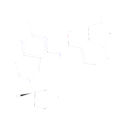 Cc1nc(NC(O)c2cccc3c2CCC3(F)F)c2cn([C@H]3CC4CC3C4)c(=O)cc2n1